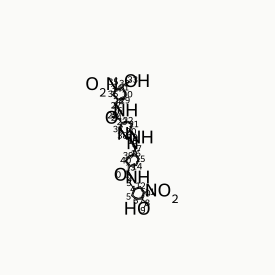 O=C(NCc1ccc(CO)c([N+](=O)[O-])c1)c1ccc(/C=N/Nc2ccc(C(=O)NCc3ccc(CO)c([N+](=O)[O-])c3)cn2)cc1